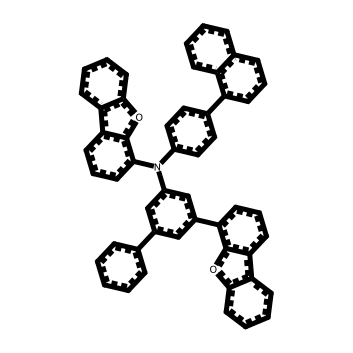 c1ccc(-c2cc(-c3cccc4c3oc3ccccc34)cc(N(c3ccc(-c4cccc5ccccc45)cc3)c3cccc4c3oc3ccccc34)c2)cc1